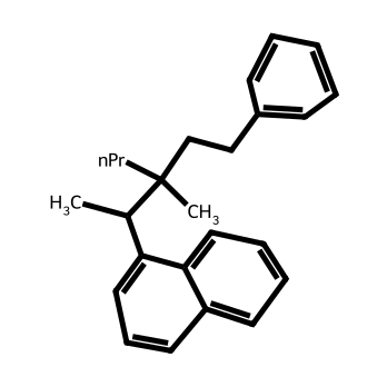 CCCC(C)(CCc1ccccc1)C(C)c1cccc2ccccc12